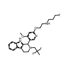 COc1cc(OCCNCCCF)ncc1C1c2[nH]c3ccccc3c2CCN1CC(C)(F)F